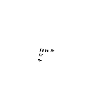 [Fe].[Fe].[Fe].[Fe].[Fe]